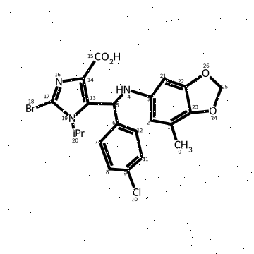 Cc1cc(NC(c2ccc(Cl)cc2)c2c(C(=O)O)nc(Br)n2C(C)C)cc2c1OCO2